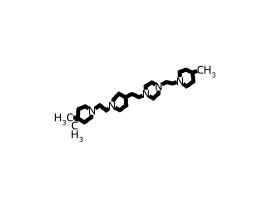 CC1CCN(CCN2CCN(CCC3CCN(CCN4CCC(C)(C)CC4)CC3)CC2)CC1